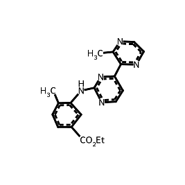 CCOC(=O)c1ccc(C)c(Nc2nccc(-c3nccnc3C)n2)c1